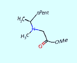 CCCCCC(C)N(C)CC(=O)OC